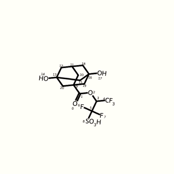 O=C(OC(C(F)(F)F)C(F)(F)S(=O)(=O)O)C12CC3CC(O)(CC(O)(C3)C1)C2